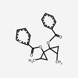 CC1CC1(OC(=O)c1ccccc1)C1(OC(=O)c2ccccc2)CC1C